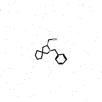 OC[C@@H]1CC2(CCCC2)CN1Cc1ccccc1